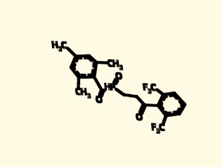 Cc1cc(C)c(C(=O)[PH](=O)CCC(=O)c2c(C(F)(F)F)cccc2C(F)(F)F)c(C)c1